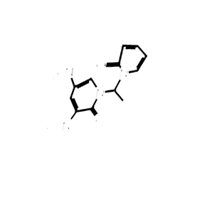 CC(n1ccccc1=O)n1cc([N+](=O)[O-])cc([N+](=O)[O-])c1=O